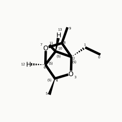 CC[C@@]12O[C@@H](C)[C@@H](OC1C)[C@@H]2C